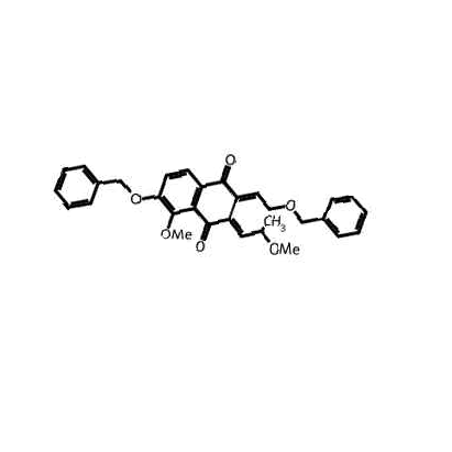 COc1c(OCc2ccccc2)ccc2c1C(=O)C(=C/C(C)OC)/C(=C\COCc1ccccc1)C2=O